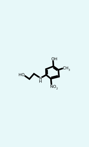 Cc1cc([N+](=O)[O-])c(NCCO)cc1O